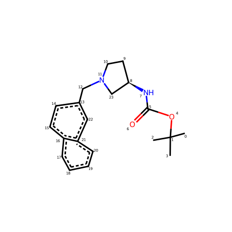 CC(C)(C)OC(=O)N[C@@H]1CCN(Cc2ccc3ccccc3c2)C1